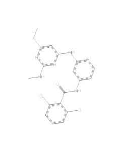 CCc1cc(Nc2cc(NC(=O)c3c(Cl)cccc3Cl)ccn2)nc(NC)n1